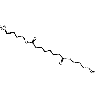 O=C(CCCCCCC(=O)OCCCCO)OCCCCO